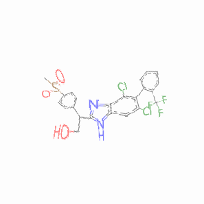 CS(=O)(=O)c1ccc(C(CO)c2nc3c(Cl)c(-c4ccccc4C(F)(F)F)c(Cl)cc3[nH]2)cc1